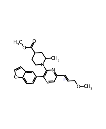 COC/C=C/c1cnc(-c2ccc3occc3c2)c(N2CCC(C(=O)OC)CC2C)n1